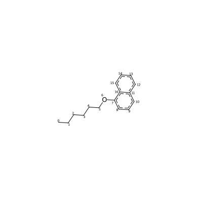 CCCCCCOc1cccc2ccccc12